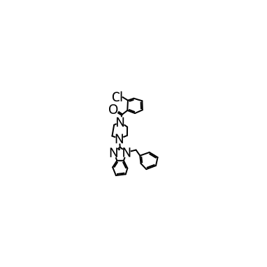 O=C(c1ccccc1Cl)N1CCN(c2nc3ccccc3n2Cc2ccccc2)CC1